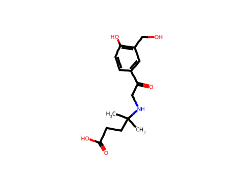 CC(C)(CCC(=O)O)NCC(=O)c1ccc(O)c(CO)c1